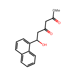 COC(=O)CC(=O)CC(O)c1cccc2ccccc12